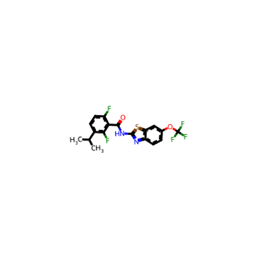 CC(C)c1ccc(F)c(C(=O)Nc2nc3ccc(OC(F)(F)F)cc3s2)c1F